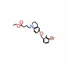 CCOC(=O)CCCN1CCCc2cc(OCc3cccc(Br)c3C)ccc21